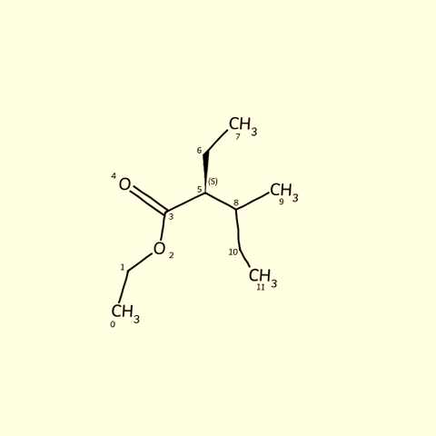 CCOC(=O)[C@@H](CC)C(C)CC